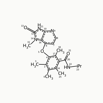 Cc1c(C)c(Oc2ccnc3[nH]c(=O)n(C)c23)c(C)c(C(=O)NC(C)C)c1C